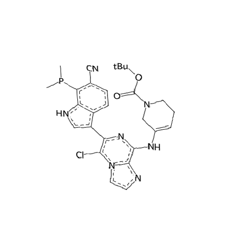 CP(C)c1c(C#N)ccc2c(-c3nc(NC4=CCCN(C(=O)OC(C)(C)C)C4)c4nccn4c3Cl)c[nH]c12